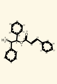 NC(c1ccccc1)C(OC(=O)C=Cc1ccccc1)c1ccccc1